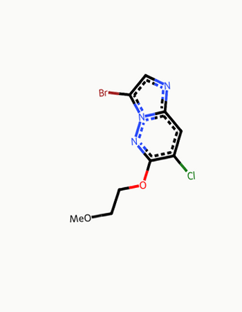 COCCOc1nn2c(Br)cnc2cc1Cl